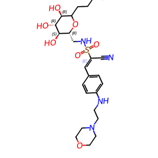 N#C/C(=C\c1ccc(NCCN2CCOCC2)cc1)S(=O)(=O)NC[C@H]1OC(CCCO)[C@H](O)[C@@H](O)[C@@H]1O